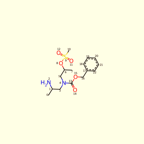 CC(N)CN(CC(C)OS(C)(=O)=O)C(=O)OCc1ccccc1